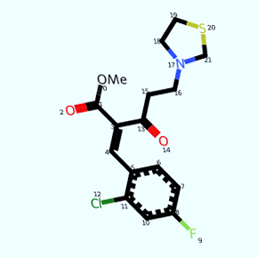 COC(=O)/C(=C/c1ccc(F)cc1Cl)C(=O)CCN1CCSC1